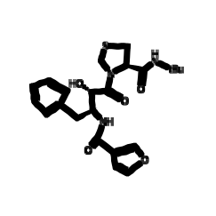 CC(C)(C)NC(=O)[C@@H]1CSCN1C(=O)[C@@H](O)[C@H](Cc1ccccc1)NC(=O)c1ccoc1